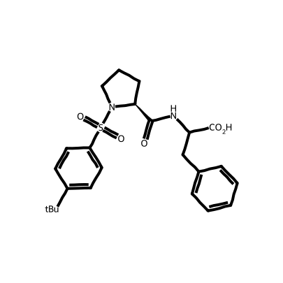 CC(C)(C)c1ccc(S(=O)(=O)N2CCC[C@H]2C(=O)NC(Cc2ccccc2)C(=O)O)cc1